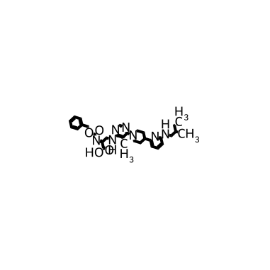 CCC(C)CNc1cccc(C2CCN(c3ncnc(NC/C(=N\C(=O)OCc4ccccc4)C(=O)O)c3C)CC2)n1